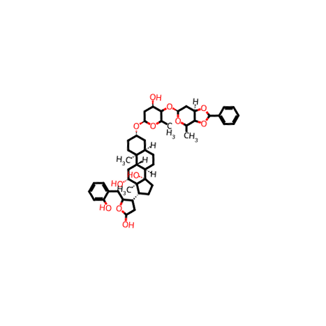 CC1O[C@@H](O[C@H]2CC[C@@]3(C)[C@H](CC[C@@H]4[C@@H]3C[C@@H](O)[C@]3(C)[C@@H](C5CC(O)OC5Cc5ccccc5O)CC[C@]43O)C2)C[C@@H](O)C1O[C@H]1C[C@H]2OC(c3ccccc3)OC2C(C)O1